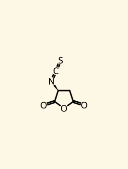 O=C1C[C@H](N=C=S)C(=O)O1